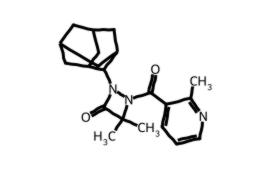 Cc1ncccc1C(=O)N1N(C2C3CC4CC(C3)CC2C4)C(=O)C1(C)C